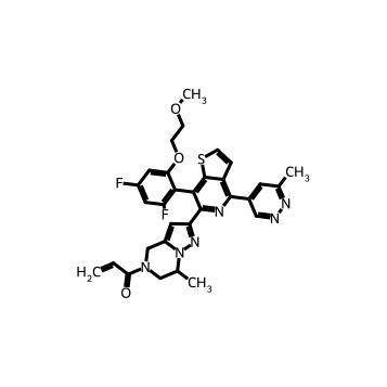 C=CC(=O)N1Cc2cc(-c3nc(-c4cnnc(C)c4)c4ccsc4c3-c3c(F)cc(F)cc3OCCOC)nn2C(C)C1